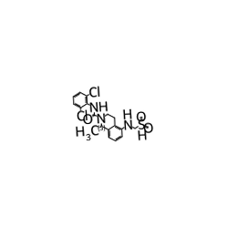 C[C@H]1c2cccc(NC[SH](=O)=O)c2CCN1C(=O)Nc1c(Cl)cccc1Cl